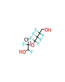 OCC(F)(F)C(F)(F)C(F)(F)OC(F)(C(O)F)C(F)(F)F